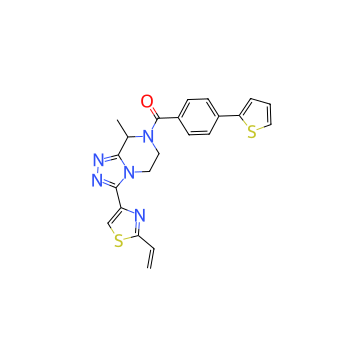 C=Cc1nc(-c2nnc3n2CCN(C(=O)c2ccc(-c4cccs4)cc2)C3C)cs1